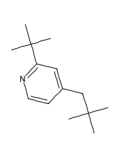 CC(C)(C)Cc1ccnc(C(C)(C)C)c1